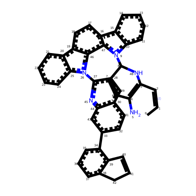 C/C=C\C1=C(N)C=CC(n2c3ccccc3c3ccc4c5ccccc5n(-c5ccc6ccc(-c7cccc8c7C=CC8)cc6n5)c4c32)N1